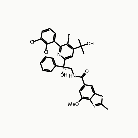 COc1cc(C(=O)NC[C@@](O)(c2ccccc2)c2cc(C(C)(C)O)c(F)c(-c3cccc(Cl)c3Cl)n2)cc2sc(C)nc12